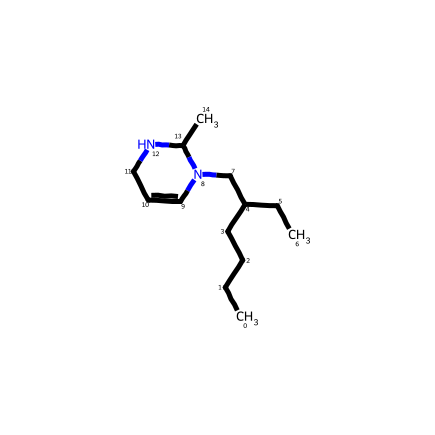 CCCCC(CC)CN1C=CCNC1C